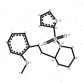 COc1ccccc1CCC1CCCCN1S(=O)(=O)c1cccs1